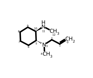 C=CCN(C)[C@@H]1CCCC[C@H]1NC